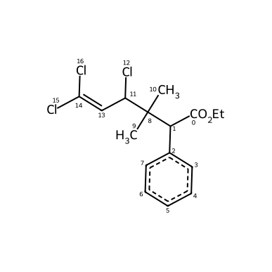 CCOC(=O)C(c1ccccc1)C(C)(C)C(Cl)C=C(Cl)Cl